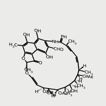 CO[C@@H]1[C@@H](C)[C@@H](O)[C@@H](C)[C@H](OC(C)=O)[C@H](C)[C@@H](OC)/C=C/O[C@@]2(C)Oc3c(C)c(O)c4c(O)c(c(C=O)c(O)c4c3C2=O)NC(=P)/C(C)=C\C=C\[C@@H]1C